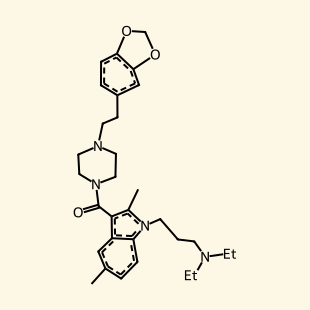 CCN(CC)CCCn1c(C)c(C(=O)N2CCN(CCc3ccc4c(c3)OCO4)CC2)c2cc(C)ccc21